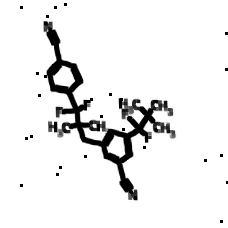 CC(C)(C)C(F)(F)c1cc(C#N)cc(CC(C)(C)C(F)(F)c2ccc(C#N)cc2)c1